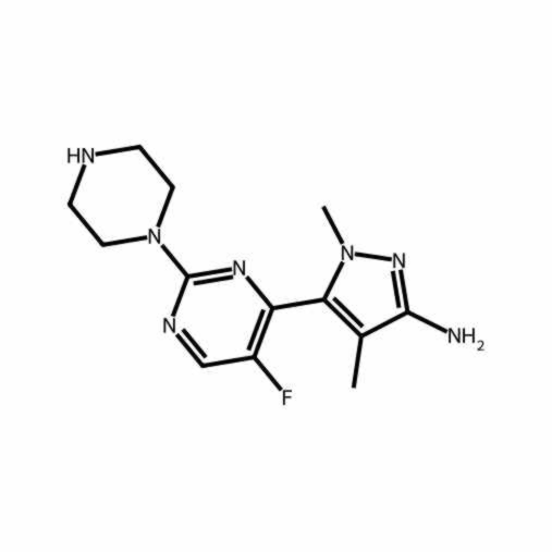 Cc1c(N)nn(C)c1-c1nc(N2CCNCC2)ncc1F